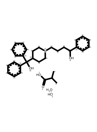 CC(C)C(=O)O.Cl.O.OC(CCCN1CCC(C(O)(c2ccccc2)c2ccccc2)CC1)c1ccccc1